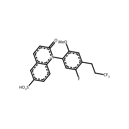 COc1cc(CCC(F)(F)F)c(F)cc1-n1c(=O)ccc2cc(S(=O)(=O)O)ccc21